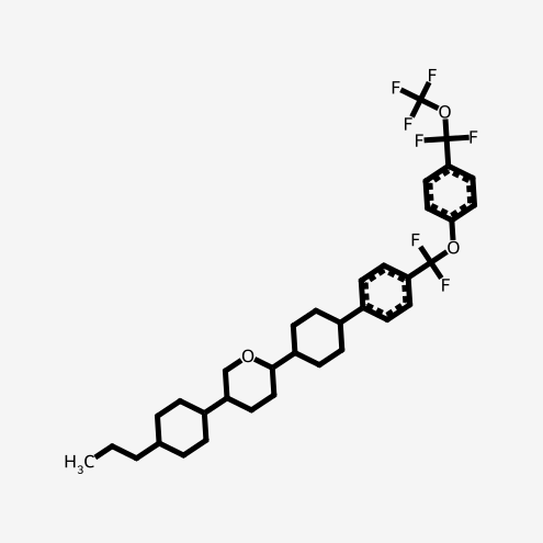 CCCC1CCC(C2CCC(C3CCC(c4ccc(C(F)(F)Oc5ccc(C(F)(F)OC(F)(F)F)cc5)cc4)CC3)OC2)CC1